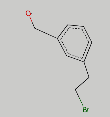 [O]Cc1cccc(CCBr)c1